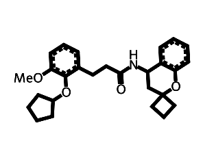 COc1cccc(CCC(=O)NC2CC3(CCC3)Oc3ccccc32)c1OC1CCCC1